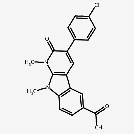 CC(=O)c1ccc2c(c1)c1cc(-c3ccc(Cl)cc3)c(=O)n(C)c1n2C